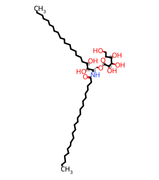 CCCCCCCCCCCCCCCCCCCCCCCC(=O)N[C@@H](CO[C@H]1OC(CO)[C@H](O)C(O)[C@H]1O)[C@H](O)[C@H](O)CCCCCCCCCCCCCCCCCC